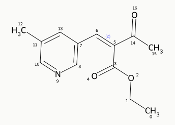 CCOC(=O)/C(=C\c1cncc(C)c1)C(C)=O